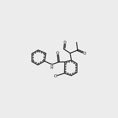 CC(=O)C(C=O)c1cccc(Cl)c1C(=O)Nc1ccccc1